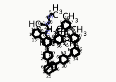 C#CC(=C\C=C/C)/C=C1\c2ccccc2-c2cc(-c3ccc(C45CC6CC(CC(c7ccc(-c8cccc(-c9cccc(B(c%10c(C)cc(C)cc%10C)c%10c(C)cc(C)cc%10C)c9)c8)cc7)(C6)C4)C5)cc3)ccc21